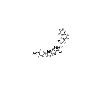 CC(=O)N1CCC(c2ccc3nc(C(=O)NC[C@H](O)CN4CCc5ccccc5C4)cn3n2)CC1